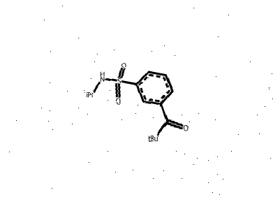 CC(C)NS(=O)(=O)c1cccc(C(=O)C(C)(C)C)c1